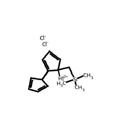 C[Si](C)(C)C[C]1([Hf+2])C=CC=C1C1C=CC=C1.[Cl-].[Cl-]